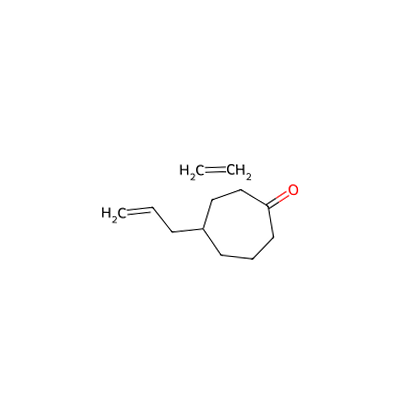 C=C.C=CCC1CCCC(=O)CC1